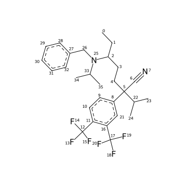 CCC(CCC(C#N)(c1ccc(C(F)(F)F)c(C(F)(F)F)c1)C(C)C)N(Cc1ccccc1)C(C)C